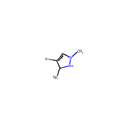 CN1C=C(Br)C(C#N)N1